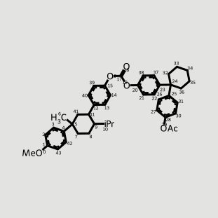 COc1ccc(C2(C)CCC(C(C)C)C(c3ccc(OC(=O)Oc4ccc(C5(c6ccc(OC(C)=O)cc6)CCCCC5)cc4)cc3)C2)cc1